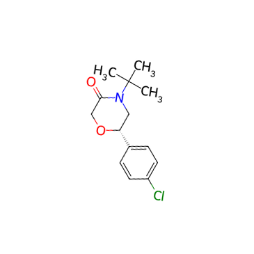 CC(C)(C)N1C[C@H](c2ccc(Cl)cc2)OCC1=O